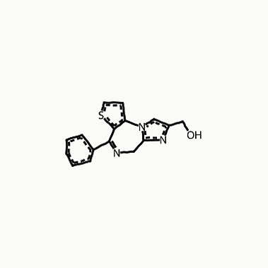 OCc1cn2c(n1)CN=C(c1ccccc1)c1sccc1-2